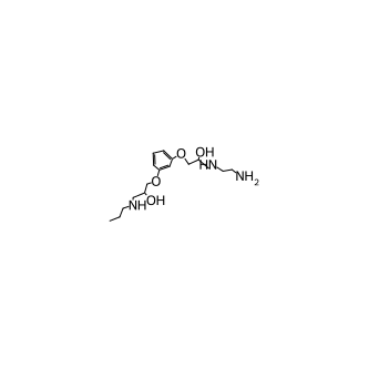 CCCNCC(O)COc1cccc(OCC(O)CNCCN)c1